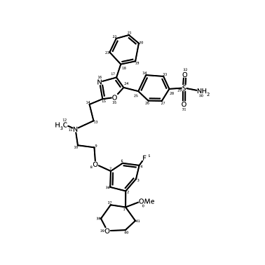 COC1(c2cc(F)cc(OCCN(C)CCc3nc(-c4ccccc4)c(-c4ccc(S(N)(=O)=O)cc4)o3)c2)CCOCC1